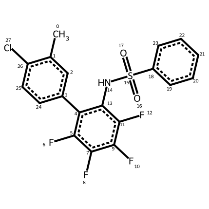 Cc1cc(-c2c(F)c(F)c(F)c(F)c2NS(=O)(=O)c2ccccc2)ccc1Cl